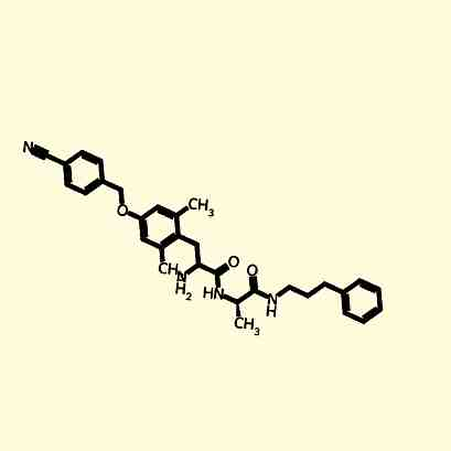 Cc1cc(OCc2ccc(C#N)cc2)cc(C)c1CC(N)C(=O)N[C@H](C)C(=O)NCCCc1ccccc1